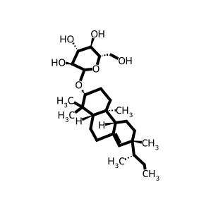 CC[C@H](C)[C@]1(C)C=C2CC[C@@H]3C(C)(C)[C@H](OC4O[C@@H](CO)[C@H](O)[C@@H](O)[C@@H]4O)CC[C@@]3(C)[C@@H]2CC1